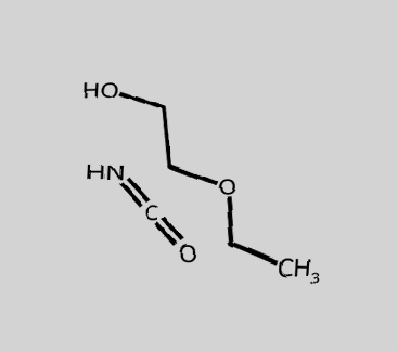 CCOCCO.N=C=O